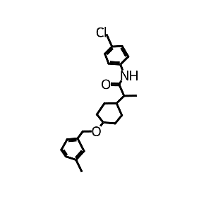 Cc1cccc(COC2CCC(C(C)C(=O)Nc3ccc(Cl)cc3)CC2)c1